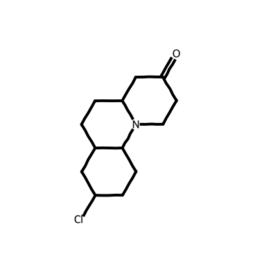 O=C1CCN2C(CCC3CC(Cl)CCC32)C1